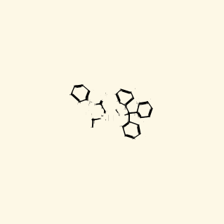 CC(=O)N[C@@H](CSC(c1ccccc1)(c1ccccc1)c1ccccc1)C(=O)Oc1ccccc1